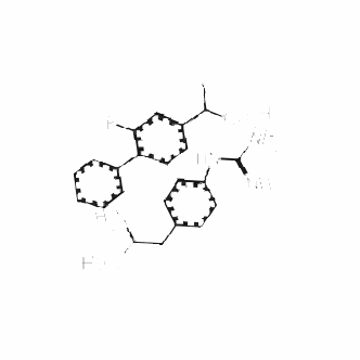 CC(C(=O)O)c1ccc(-c2ccccc2)c(F)c1.N=C(N)Nc1ccc(C[C@H](N)C(=O)O)cc1